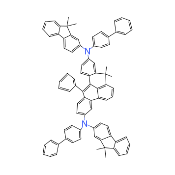 CC1(C)c2ccccc2-c2ccc(N(c3ccc(-c4ccccc4)cc3)c3ccc4c(c3)C(C)(C)c3cccc5c3c-4c(-c3ccccc3)c3ccc(N(c4ccc(-c6ccccc6)cc4)c4ccc6c(c4)C(C)(C)c4ccccc4-6)cc35)cc21